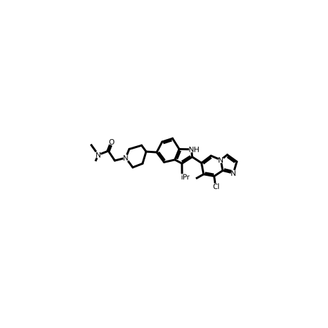 Cc1c(-c2[nH]c3ccc(C4CCN(CC(=O)N(C)C)CC4)cc3c2C(C)C)cn2ccnc2c1Cl